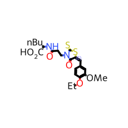 CCCCC(NC(=O)CCN1C(=O)/C(=C\c2ccc(OCC)c(OC)c2)SC1=S)C(=O)O